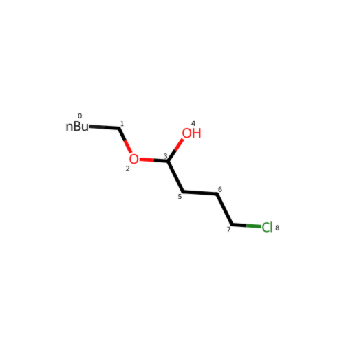 CCCCCOC(O)CCCCl